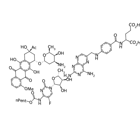 CCCCCOC(=O)Nc1nc(=O)n([C@@H]2O[C@H](C)[C@@H](O)[C@H]2O)cc1F.COc1cccc2c1C(=O)c1c(O)c3c(c(O)c1C2=O)C[C@@](O)(C(C)=O)C[C@@H]3O[C@H]1C[C@H](N)[C@H](O)[C@H](C)O1.Nc1nc(N)c2nc(CNc3ccc(C(=O)NC(CCC(=O)O)C(=O)O)cc3)cnc2n1